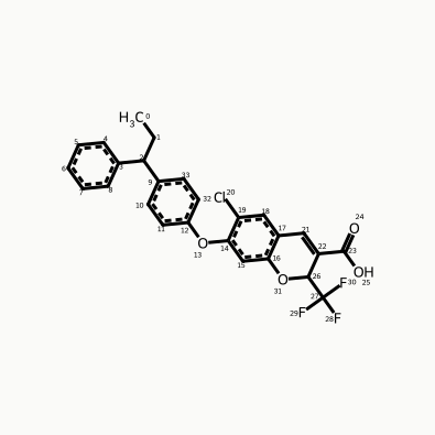 CCC(c1ccccc1)c1ccc(Oc2cc3c(cc2Cl)C=C(C(=O)O)C(C(F)(F)F)O3)cc1